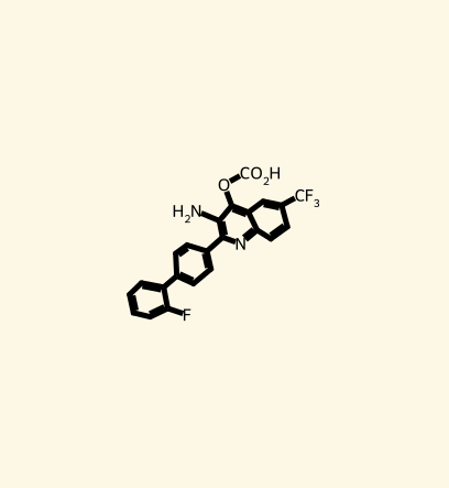 Nc1c(-c2ccc(-c3ccccc3F)cc2)nc2ccc(C(F)(F)F)cc2c1OC(=O)O